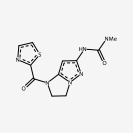 CNC(=O)Nc1cc2n(n1)CCN2C(=O)c1nccs1